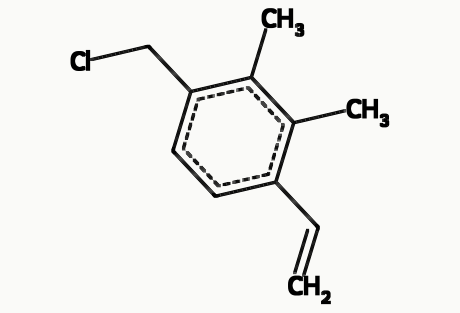 C=Cc1ccc(CCl)c(C)c1C